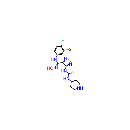 O/N=C(\Nc1ccc(F)c(Br)c1)c1nonc1NC(=S)NC1CCNCC1